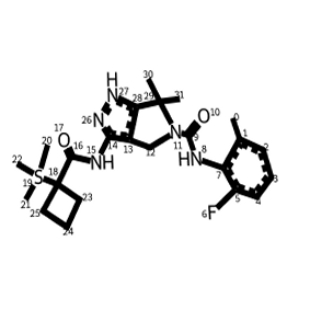 Cc1cccc(F)c1NC(=O)N1Cc2c(NC(=O)C3(S(C)(C)C)CCC3)n[nH]c2C1(C)C